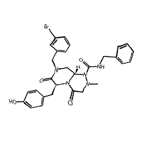 CN1CC(=O)N2[C@@H](Cc3ccc(O)cc3)C(=O)N(Cc3cccc(Br)c3)C[C@@H]2N1C(=O)NCc1ccccc1